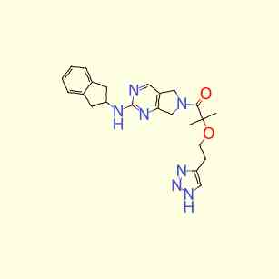 CC(C)(OCCc1c[nH]nn1)C(=O)N1Cc2cnc(NC3Cc4ccccc4C3)nc2C1